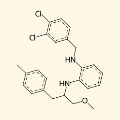 COCC(Cc1ccc(C)cc1)Nc1ccccc1NCc1ccc(Cl)c(Cl)c1